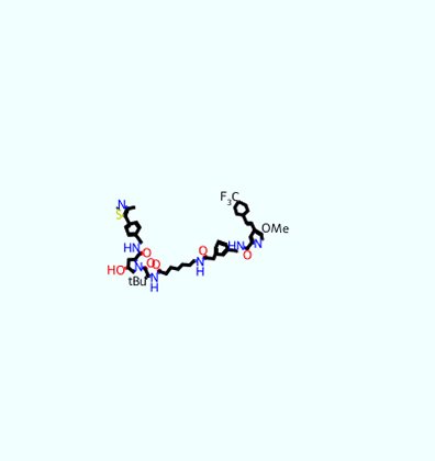 COc1cnc(C(=O)NCc2cccc(CC(=O)NCCCCCCC(=O)NC(C(=O)N3CC(O)CC3C(=O)NCc3ccc(-c4scnc4C)cc3)C(C)(C)C)c2)cc1C=CC1CCC(C(F)(F)F)CC1